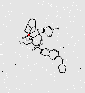 CCN([C@@H](C(=O)N1C2CCC1CC(N)C2)C(F)(F)c1ccc(Br)cc1)S(=O)(=O)c1ccc2cc(OC3CCCC3)ccc2c1